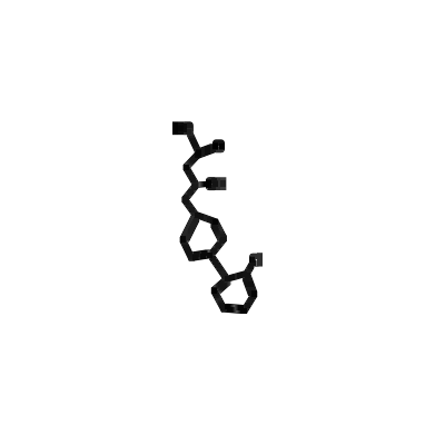 O=C(O)CC(O)Cc1ccc(-c2ccccc2Cl)cc1